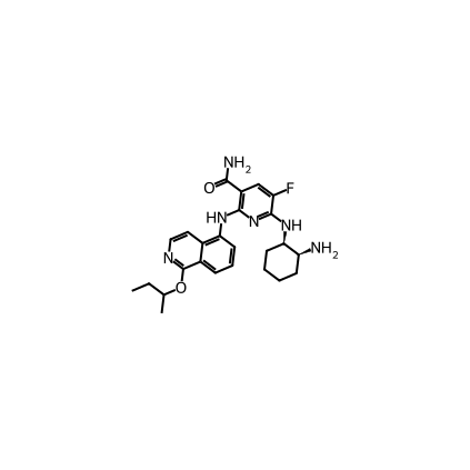 CCC(C)Oc1nccc2c(Nc3nc(N[C@@H]4CCCC[C@@H]4N)c(F)cc3C(N)=O)cccc12